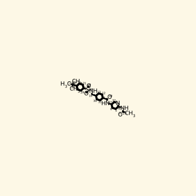 CC(=O)Nc1ccc(NC(=O)c2ccc(CNS(=O)(=O)c3ccc(C(C)(C)C)cc3)cc2)cn1